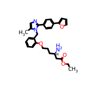 CCOC(=O)C[C@H](N)CCCOc1ccccc1Cn1c(C)cnc1-c1ccc(-c2ccco2)cc1